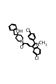 Cn1c(-c2ccc(Cl)cc2)c(C=CC(=O)N2CCC(O)(Cc3ccccc3)CC2)c2cc(Cl)ccc21